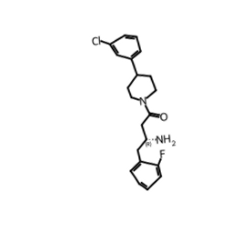 N[C@@H](CC(=O)N1CCC(c2cccc(Cl)c2)CC1)Cc1ccccc1F